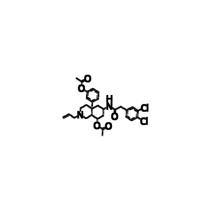 C=CCN1CCC2(c3cccc(OC(C)=O)c3)CC(NC(=O)Cc3ccc(Cl)c(Cl)c3)CC(OC(C)=O)C2C1